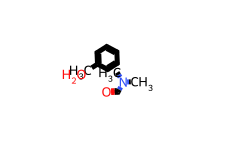 CN(C)C=O.Cc1ccccc1.O